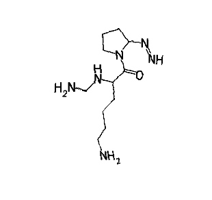 N=NC1CCCN1C(=O)C(CCCCN)NCN